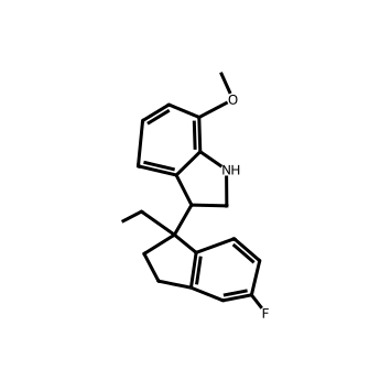 CCC1(C2CNc3c(OC)cccc32)CCc2cc(F)ccc21